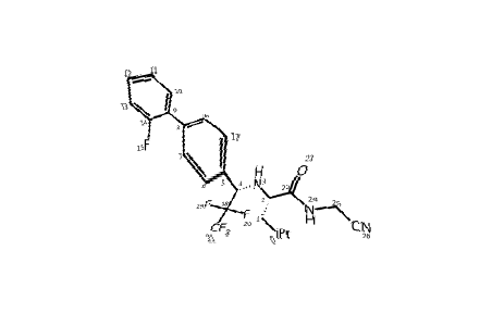 CC(C)C[C@H](N[C@@H](c1ccc(-c2ccccc2F)cc1)C(F)(F)C(F)(F)F)C(=O)NCC#N